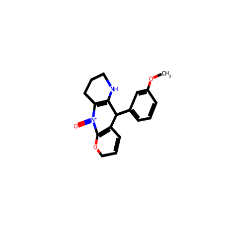 COc1cccc(C2C3=C(OCC=C3)[N+](=O)C3=C2NCCC3)c1